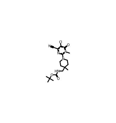 Cn1c(N2CCC(C)(CNC(=O)OC(C)(C)C)CC2)nc(C#N)c(Cl)c1=O